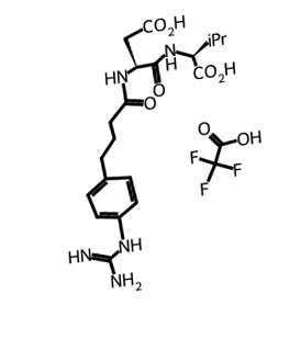 CC(C)[C@H](NC(=O)[C@H](CC(=O)O)NC(=O)CCCc1ccc(NC(=N)N)cc1)C(=O)O.O=C(O)C(F)(F)F